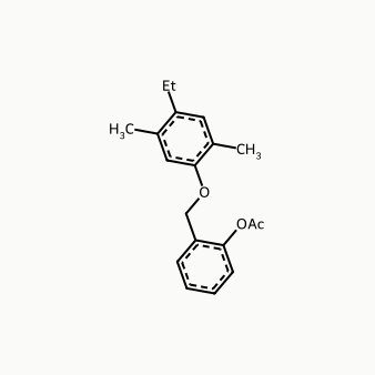 CCc1cc(C)c(OCc2ccccc2OC(C)=O)cc1C